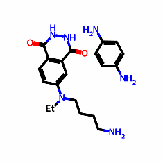 CCN(CCCCN)c1ccc2c(=O)[nH][nH]c(=O)c2c1.Nc1ccc(N)cc1